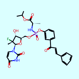 CC(C)OC(=O)[C@H](C)NP(=O)(OC[C@H]1O[C@@H](n2ccc(=O)[nH]c2=O)[C@](C)(F)[C@@H]1O)Oc1cccc(C(=O)/C=C/c2ccccc2)c1